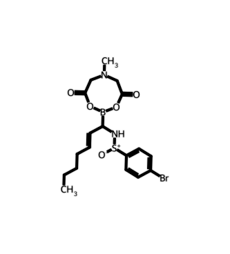 CCCCC=CC(N[S+]([O-])c1ccc(Br)cc1)B1OC(=O)CN(C)CC(=O)O1